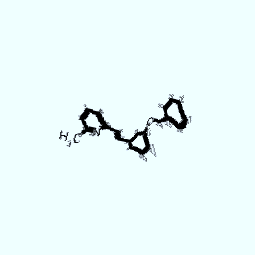 Cc1cccc(C=Cc2cccc(OCc3ccccc3)c2)n1